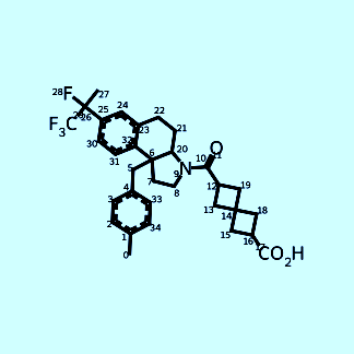 Cc1ccc(CC23CCN(C(=O)C4CC5(CC(C(=O)O)C5)C4)C2CCc2cc(C(C)(F)C(F)(F)F)ccc23)cc1